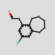 O=CCc1cc(Cl)cc2c1CCCCC2